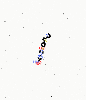 O=C(NO)c1cnc(N2CCN(S(=O)(=O)c3ccc(-c4ccc(-c5ccccn5)s4)cc3)CC2)nc1